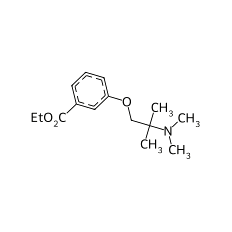 CCOC(=O)c1cccc(OCC(C)(C)N(C)C)c1